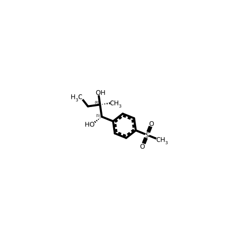 CC[C@@](C)(O)[C@@H](O)c1ccc(S(C)(=O)=O)cc1